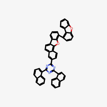 c1ccc2c(-c3nc(-c4ccc5c(ccc6c7cccc(-c8cccc9oc%10ccccc%10c89)c7oc56)c4)nc(-c4cccc5ccccc45)n3)cccc2c1